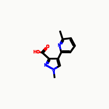 Cc1cccc(-c2cn(C)nc2C(=O)O)n1